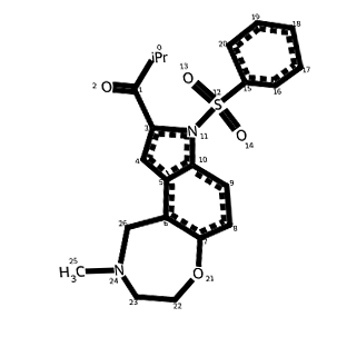 CC(C)C(=O)c1cc2c3c(ccc2n1S(=O)(=O)c1ccccc1)OCCN(C)C3